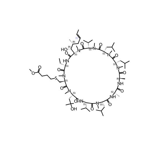 C/C=C/C[C@@H](C)[C@@H](O)[C@H]1C(=O)N[C@@H](CC)C(=O)N(C)[C@H](CSCCCC(=O)OC)C(=O)N(C)[C@@H](CC(C)(C)O)C(=O)N[C@@H](C(C)C)C(=O)N(C)[C@@H](CC(C)C)C(=O)N[C@@H](C)C(=O)N[C@H](C)C(=O)N(C)[C@@H](CC(C)C)C(=O)N(C)[C@@H](CC(C)C)C(=O)N(C)[C@@H](C(C)C)C(=O)N1C